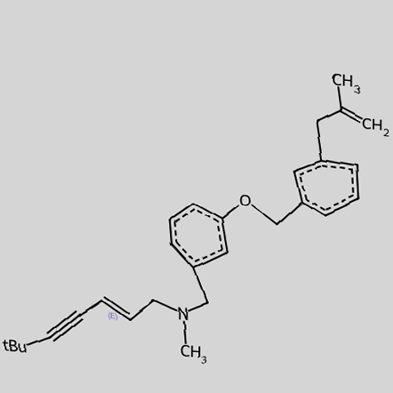 C=C(C)Cc1cccc(COc2cccc(CN(C)C/C=C/C#CC(C)(C)C)c2)c1